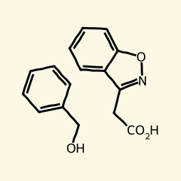 O=C(O)Cc1noc2ccccc12.OCc1ccccc1